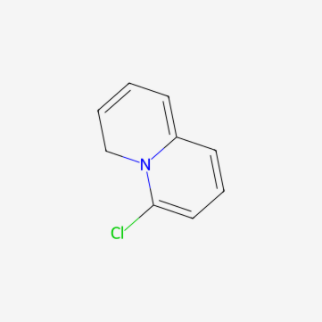 ClC1=CC=CC2=CC=CCN12